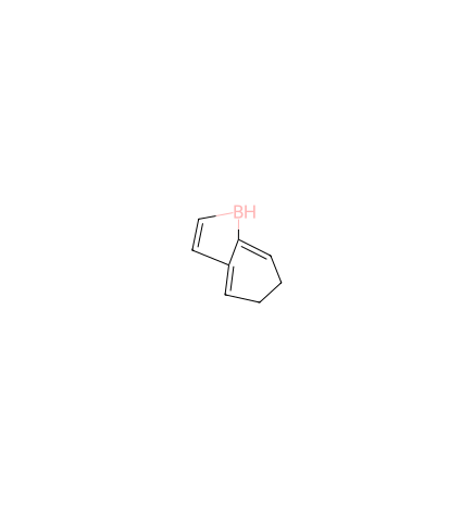 B1C=CC2=CCCC=C12